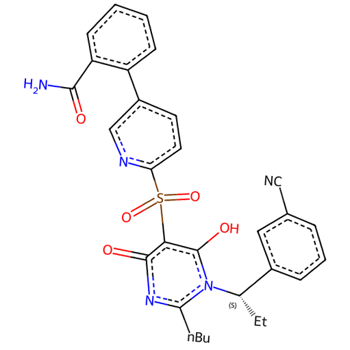 CCCCc1nc(=O)c(S(=O)(=O)c2ccc(-c3ccccc3C(N)=O)cn2)c(O)n1[C@@H](CC)c1cccc(C#N)c1